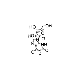 O=c1[nH]c(=O)c2ncn([C@]3(Cl)O[C@H](CO)[C@@H](O)[C@H]3O)c2[nH]1